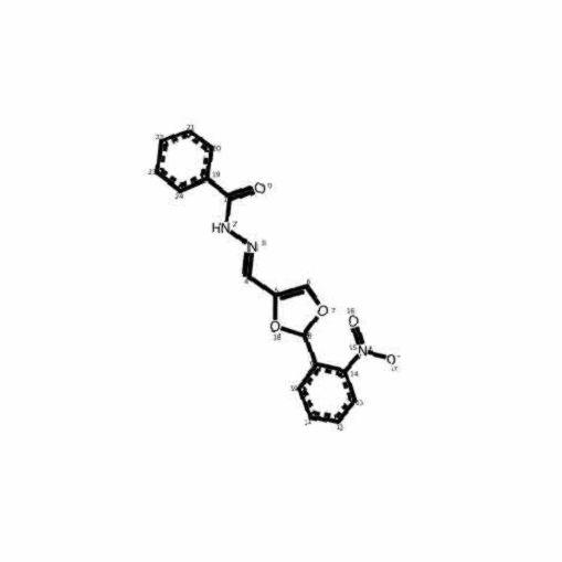 O=C(NN=CC1=COC(c2ccccc2[N+](=O)[O-])O1)c1ccccc1